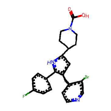 O=C(O)N1CCC(c2cc(-c3ccncc3Br)c(-c3ccc(F)cc3)[nH]2)CC1